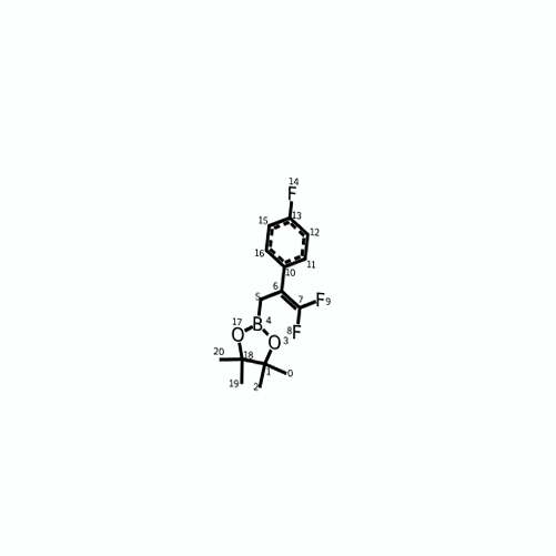 CC1(C)OB(CC(=C(F)F)c2ccc(F)cc2)OC1(C)C